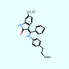 CCOC(=O)c1ccc2c(c1)NC(=O)/C2=C(\Nc1ccc(CCNC)cc1)c1ccccc1